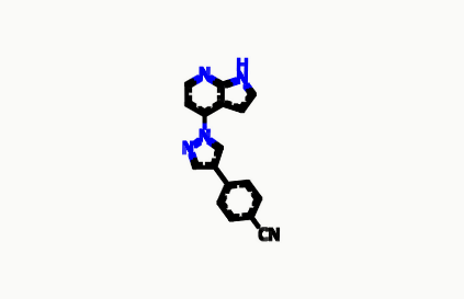 N#Cc1ccc(-c2cnn(-c3ccnc4[nH]ccc34)c2)cc1